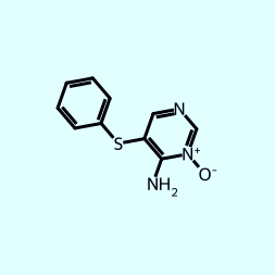 Nc1c(Sc2ccccc2)cnc[n+]1[O-]